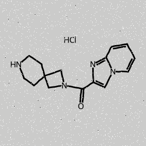 Cl.O=C(c1cn2ccccc2n1)N1CC2(CCNCC2)C1